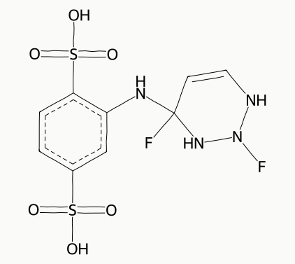 O=S(=O)(O)c1ccc(S(=O)(=O)O)c(NC2(F)C=CNN(F)N2)c1